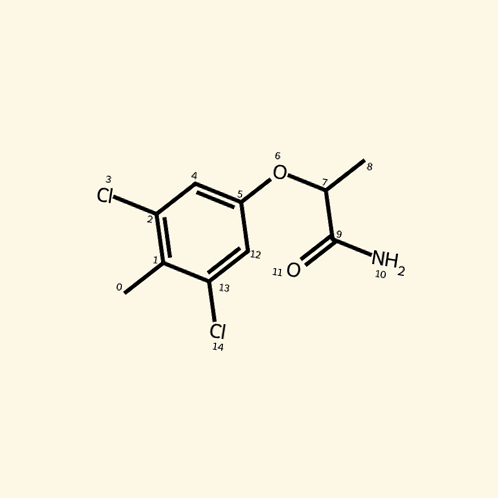 Cc1c(Cl)cc(OC(C)C(N)=O)cc1Cl